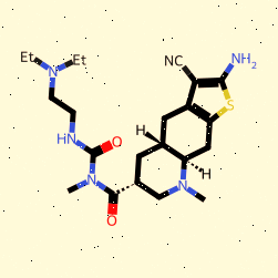 CCN(CC)CCNC(=O)N(C)C(=O)[C@@H]1C[C@@H]2Cc3c(sc(N)c3C#N)C[C@H]2N(C)C1